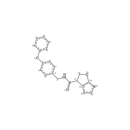 O=C(NCc1ccc(Oc2ccccc2)cc1)C1COc2ncsc21